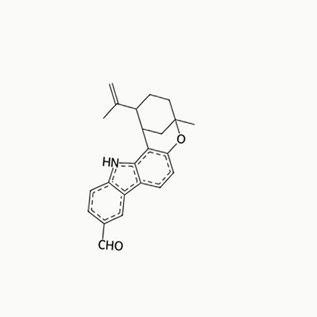 C=C(C)C1CCC2(C)CC1c1c(ccc3c1[nH]c1ccc(C=O)cc13)O2